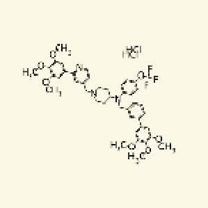 COc1cc(-c2cccc(CN(c3ccc(OC(F)(F)F)cc3)C3CCN(Cc4ccnc(-c5cc(OC)c(OC)c(OC)c5)c4)CC3)c2)cc(OC)c1OC.Cl.Cl